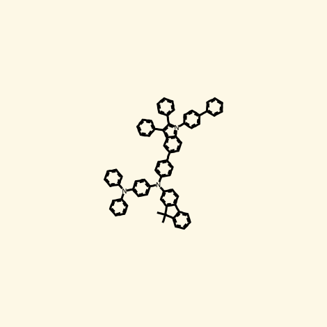 CC1(C)c2ccccc2-c2ccc(N(c3ccc(-c4ccc5c(c4)c(-c4ccccc4)c(-c4ccccc4)n5-c4ccc(-c5ccccc5)cc4)cc3)c3ccc(N(c4ccccc4)c4ccccc4)cc3)cc21